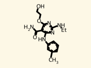 CCNc1nc(Nc2cccc(C)c2)c(C(N)=O)c(OCCO)n1